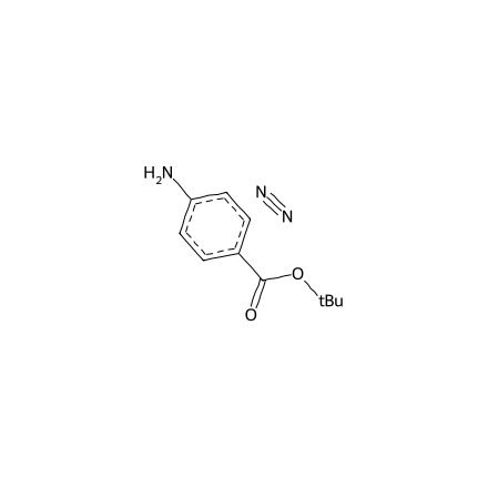 CC(C)(C)OC(=O)c1ccc(N)cc1.N#N